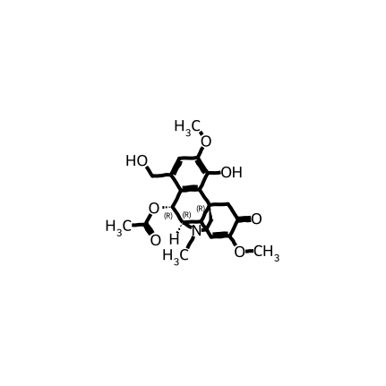 COC1=CC2[C@@H]3[C@H](OC(C)=O)c4c(CO)cc(OC)c(O)c4[C@]2(CCN3C)CC1=O